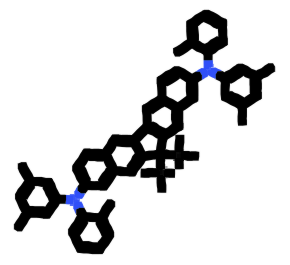 Cc1cc(C)cc(N(c2ccc3cc4c(cc3c2)C([Si](C)(C)C)([Si](C)(C)C)c2cc3cc(N(c5cc(C)cc(C)c5)c5ccccc5C)ccc3cc2-4)c2ccccc2C)c1